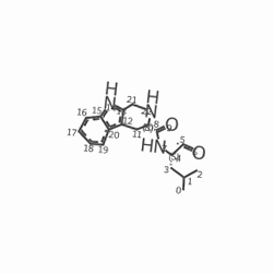 CC(C)C[C@@H]([C]=O)NC(=O)[C@@H]1Cc2c([nH]c3ccccc23)CN1